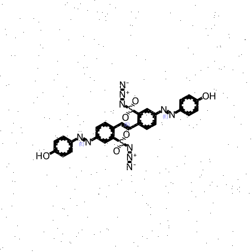 [N-]=[N+]=NS(=O)(=O)c1cc(/N=N/c2ccc(O)cc2)ccc1/C=C/c1ccc(/N=N/c2ccc(O)cc2)cc1S(=O)(=O)N=[N+]=[N-]